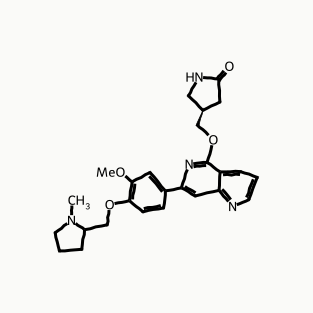 COc1cc(-c2cc3ncccc3c(OC[C@H]3CNC(=O)C3)n2)ccc1OCC1CCCN1C